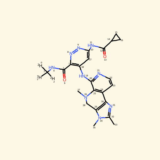 [2H]C([2H])([2H])NC(=O)c1nnc(NC(=O)C2CC2)cc1Nc1nccc2c1N(C)Cc1c-2nc(C)n1C